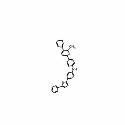 C[C@H]1SC(c2ccc(Nc3ccc(-c4ccc(-c5ccccc5)s4)cc3)cc2)=CC=C1c1ccccc1